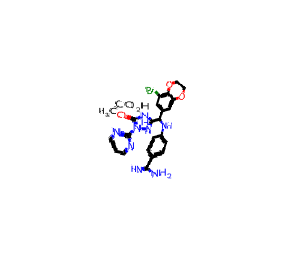 CC(=O)O.N=C(N)c1ccc(NC(c2cc(Br)c3c(c2)OCCO3)c2nn(-c3ncccn3)c(=O)[nH]2)cc1